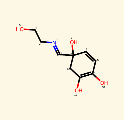 OCCN=CC1(O)C=CC(O)=C(O)C1